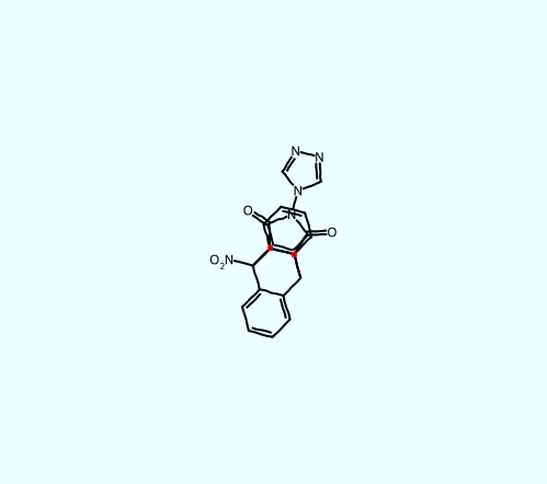 O=C1C2=C(C(=O)N1n1cnnc1)C1([N+](=O)[O-])c3ccccc3C2c2ccccc21